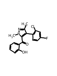 Cc1nn(C)c(C(=O)c2ccccc2O)c1-c1ccc(F)cc1Cl